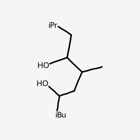 CCC(C)C(O)CC(C)C(O)CC(C)C